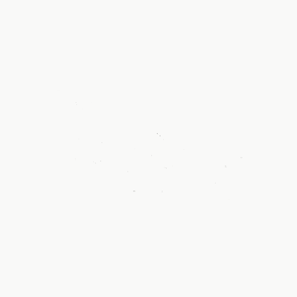 CC[C@@H](Nc1cc(CN2CC(OC(=O)O)C2)c(F)cn1)c1ccc(Cl)c(C)c1